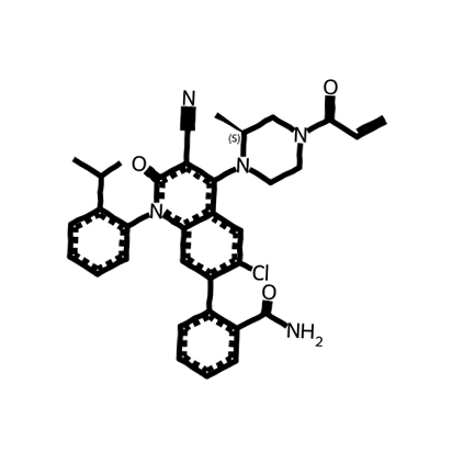 C=CC(=O)N1CCN(c2c(C#N)c(=O)n(-c3ccccc3C(C)C)c3cc(-c4ccccc4C(N)=O)c(Cl)cc23)[C@@H](C)C1